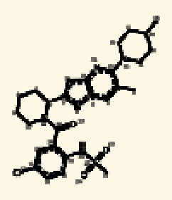 Cc1cn2nc([C@@H]3CCCCN3C(=O)c3cc(Cl)ccc3NS(C)(=O)=O)cc2nc1N1CCC(C)CC1